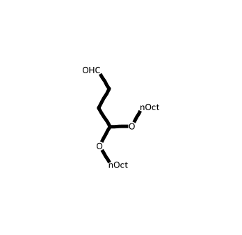 CCCCCCCCOC(CCC=O)OCCCCCCCC